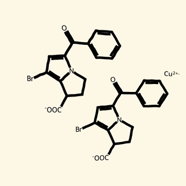 O=C(c1ccccc1)c1cc(Br)c2n1CCC2C(=O)[O-].O=C(c1ccccc1)c1cc(Br)c2n1CCC2C(=O)[O-].[Cu+2]